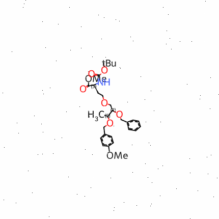 COC(=O)[C@H](CCOC[C@@H](OCc1ccccc1)[C@H](C)OCc1ccc(OC)cc1)NC(=O)OC(C)(C)C